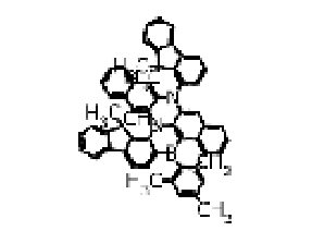 Cc1cc(C)c(B2c3ccc4c(c3N3c5cc6ccccc6cc5N(c5cccc6c5C(C)(C)c5ccccc5-6)c5cc6ccccc6c2c53)C(C)(C)c2ccccc2-4)c(C)c1